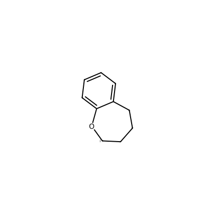 [C]1CCCc2ccccc2O1